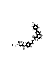 CN(C)CC(=O)Nc1ccc(CCNC(=O)c2ccnc3[nH]c(-c4ccc(Cl)cc4)nc23)cc1